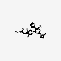 COC(=O)CC1[C@H]2CN(c3nc(N4CCC4C)nc(C(F)(F)F)c3-c3cccs3)C[C@@H]12